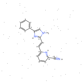 Cn1cc(-c2ccccc2)nc1C=Cc1cccc(C#N)n1